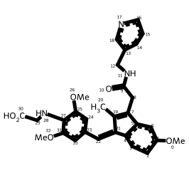 COc1ccc2c(c1)C(CC(=O)NCc1cccnc1)=C(C)C2=Cc1cc(OC)c(NCC(=O)O)c(OC)c1